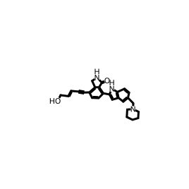 O=C1NCc2c(C#CC=CCO)ccc(-c3cc4cc(CN5CCCCC5)ccc4[nH]3)c21